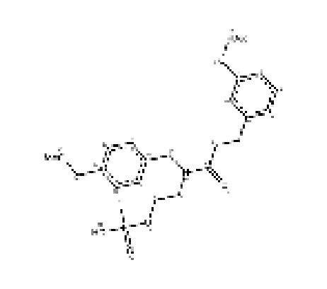 CCCCCCCCCCOc1cccc(CCC(=O)N(CCOP(=O)(O)O)Cc2ccc(COC)cc2)c1